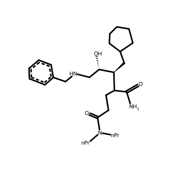 CCCN(CCC)C(=O)CCC(C(N)=O)[C@H](CC1CCCCC1)[C@@H](O)CNCc1ccccc1